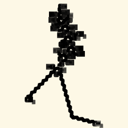 CCCCCCCC/C=C\CCCCCCCCCCCCCCCC(=O)N[C@@H](CO[C@@H]1OC(CO)[C@@H](O[C@@H]2OC(CO)[C@H](O)[C@H](O[C@@H]3OC(CO)[C@@H](O)[C@H](O[C@@H]4OC(CO)[C@H](O)[C@H](O[C@]5(C(=O)O)CC(O)[C@@H](O)C([C@H](O)[C@H](O)CO)O5)C4O)C3NC(C)=O)C2O)[C@H](O)C1O)[C@H](O)/C=C/CCCCCCCCCCCCC